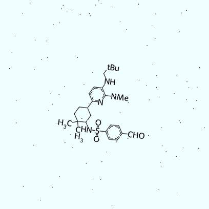 CNc1nc(C2CCC(C)(C)C(NS(=O)(=O)c3ccc(C=O)cc3)C2)ccc1NCC(C)(C)C